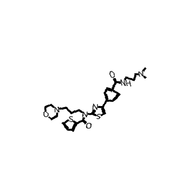 CN(C)CCCNC(=O)c1ccc(-c2csc(N(CCCN3CCOCC3)C(=O)c3cccs3)n2)cc1